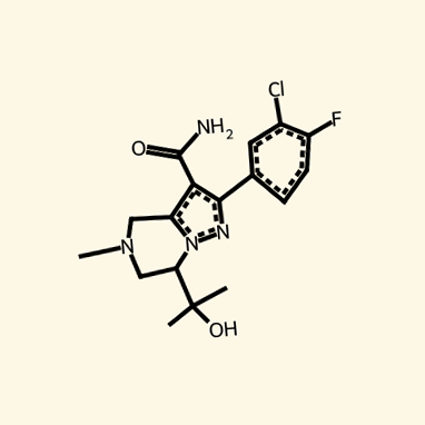 CN1Cc2c(C(N)=O)c(-c3ccc(F)c(Cl)c3)nn2C(C(C)(C)O)C1